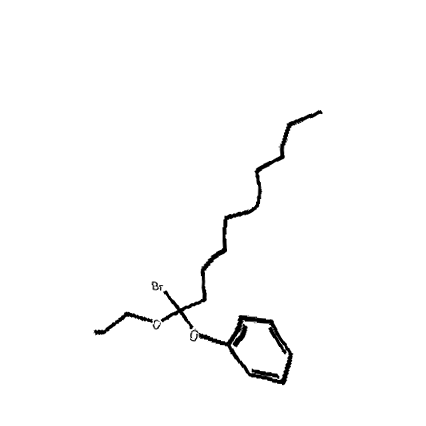 CCCCCCCCCC(Br)(OCC)Oc1ccccc1